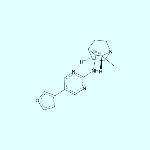 C[C@@H]1[C@@H](Nc2ncc(-c3ccoc3)cn2)C2CCN1CC2